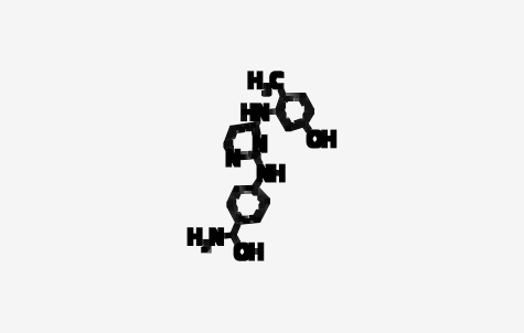 Cc1ccc(O)cc1Nc1ccnc(Nc2ccc(C(N)O)cc2)n1